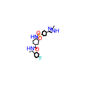 Cc1nc(-c2ccc(S(=O)(=O)N[C@H]3CC[C@H](C(=O)N[C@H](C)c4ccc(F)cc4)CC3)cc2)c[nH]1